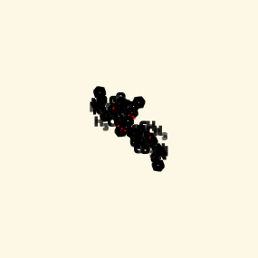 CC(OCC#CC#CCOC(C)[C@H](NC(=O)[C@H](C)N(C)C(=O)OCC1c2ccccc2-c2ccccc21)C(=O)N1CCC[C@H]1Cn1nnnc1Oc1ccccc1)[C@H](NC(=O)[C@H](C)N(C)C(=O)OCC1c2ccccc2-c2ccccc21)C(=O)N1CCC[C@H]1Cn1nnnc1Oc1ccccc1